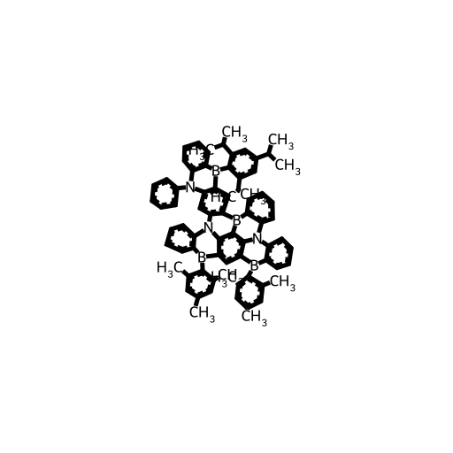 Cc1cc(C)c(B2c3ccccc3N3c4ccccc4B4c5cc6c(cc5N5c7ccccc7B(c7c(C)cc(C)cc7C)c7cc2c3c4c75)N(c2ccccc2)c2ccccc2B6c2c(C(C)C)cc(C(C)C)cc2C(C)C)c(C)c1